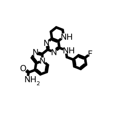 NC(=O)c1cccn2c(-c3nc4c(c(NCc5cccc(F)c5)n3)NCCC4)ncc12